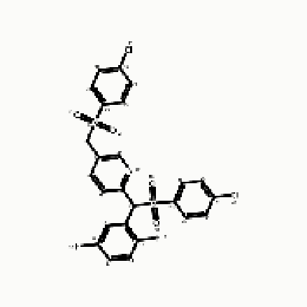 O=S(=O)(Cc1ccc(C(c2cc(F)ccc2F)S(=O)(=O)c2ccc(Cl)cc2)nc1)c1ccc(Cl)cc1